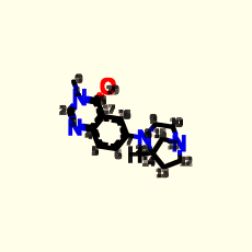 Cn1cnc2ccc(N3CCN4CC[C@H]3C4)cc2c1=O